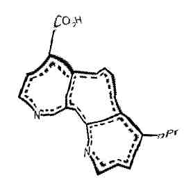 CCCc1ccnc2c1ccc1c(C(=O)O)ccnc12